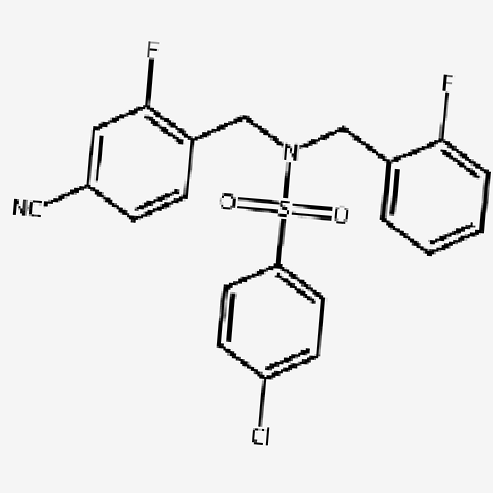 N#Cc1ccc(CN(Cc2ccccc2F)S(=O)(=O)c2ccc(Cl)cc2)c(F)c1